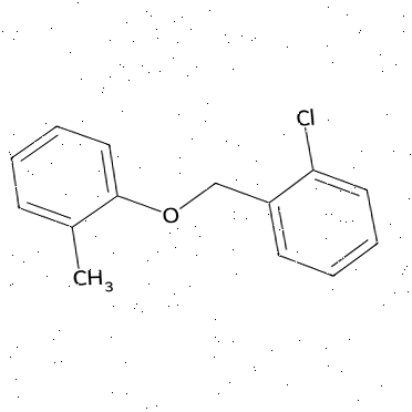 Cc1ccccc1OCc1ccccc1Cl